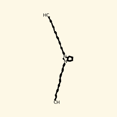 C#CC#CC#CC#CC#CC#CC#CC#CN1CN(C#CC#CC#CC#CC#CC#CC#CC#C)c2ccccc21